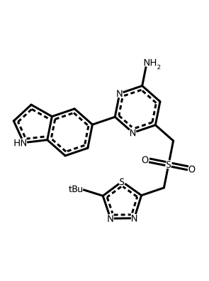 CC(C)(C)c1nnc(CS(=O)(=O)Cc2cc(N)nc(-c3ccc4[nH]ccc4c3)n2)s1